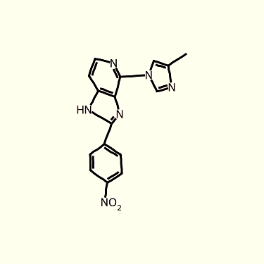 Cc1cn(-c2nccc3[nH]c(-c4ccc([N+](=O)[O-])cc4)nc23)cn1